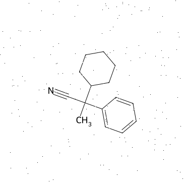 CC(C#N)(c1ccccc1)C1CCCCC1